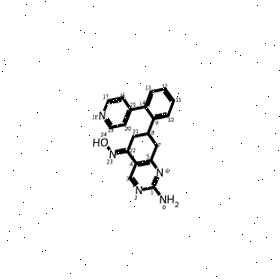 Nc1ncc2c(n1)CC(c1ccccc1-c1ccncc1)CC2=NO